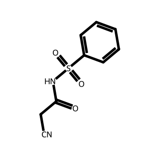 N#CCC(=O)NS(=O)(=O)c1ccccc1